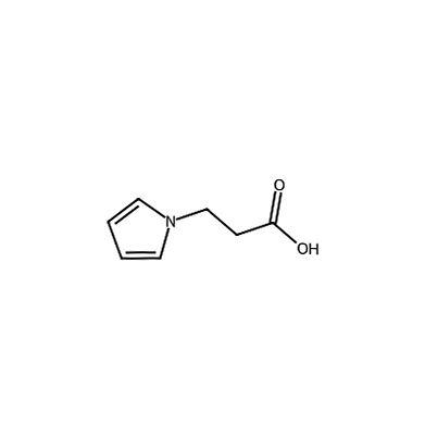 O=C(O)CCn1cccc1